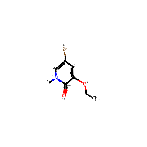 Cn1cc(Br)cc(OCC(F)(F)F)c1=O